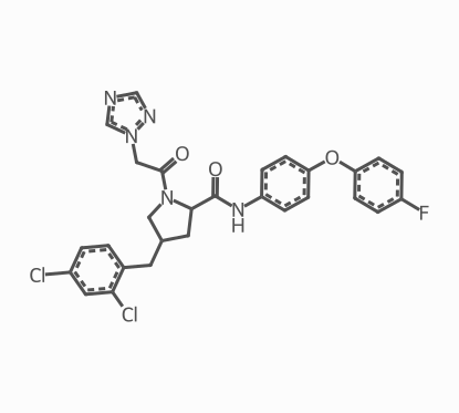 O=C(Nc1ccc(Oc2ccc(F)cc2)cc1)C1CC(Cc2ccc(Cl)cc2Cl)CN1C(=O)Cn1cncn1